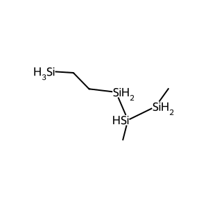 C[SiH2][SiH](C)[SiH2]CC[SiH3]